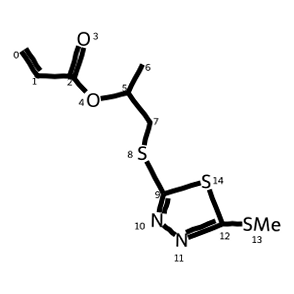 C=CC(=O)OC(C)CSc1nnc(SC)s1